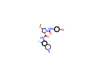 COC1C[C@H](C(=O)Nc2cc3c(cc2F)CN(C)CC3)N(C(=O)Nc2ccc(Br)cc2)C1